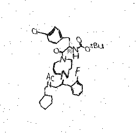 CC(=O)N(CC1CCCCC1)CC(c1ccccc1F)N1CCN(C(=O)[C@@H](Cc2ccc(Cl)cc2)NC(=O)OC(C)(C)C)CC1